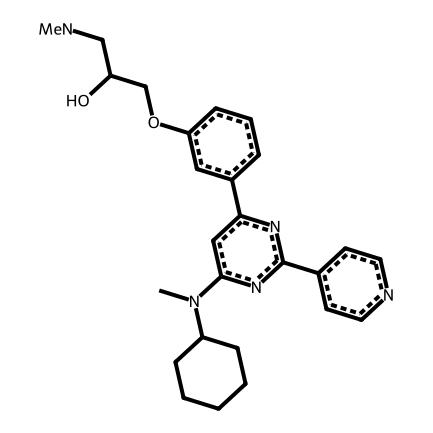 CNCC(O)COc1cccc(-c2cc(N(C)C3CCCCC3)nc(-c3ccncc3)n2)c1